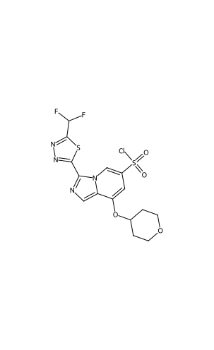 O=S(=O)(Cl)c1cc(OC2CCOCC2)c2cnc(-c3nnc(C(F)F)s3)n2c1